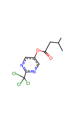 CC(C)CC(=O)Oc1cnc(C(Cl)(Cl)Cl)nc1